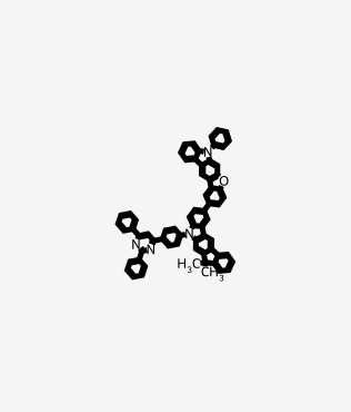 CC1(C)c2ccccc2-c2cc3c4cc(-c5ccc6oc7cc8c(cc7c6c5)c5ccccc5n8-c5ccccc5)ccc4n(-c4ccc(-c5cc(-c6ccccc6)nc(-c6ccccc6)n5)cc4)c3cc21